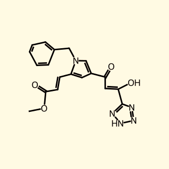 COC(=O)C=Cc1cc(C(=O)C=C(O)c2nn[nH]n2)cn1Cc1ccccc1